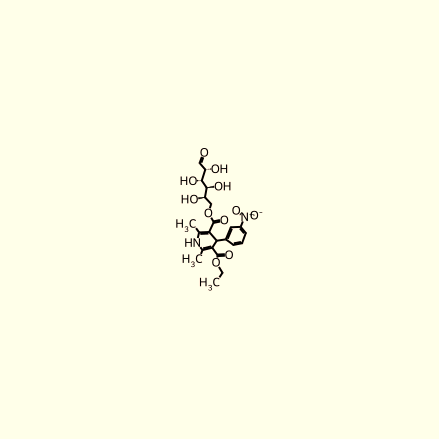 CCOC(=O)C1=C(C)NC(C)=C(C(=O)OC[C@@H](O)[C@H](O)[C@H](O)[C@@H](O)C=O)C1c1cccc([N+](=O)[O-])c1